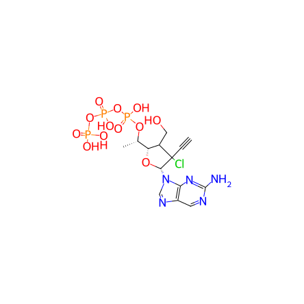 C#CC1(Cl)C(CO)[C@@H]([C@H](C)OP(=O)(O)OP(=O)(O)OP(=O)(O)O)O[C@H]1n1cnc2cnc(N)nc21